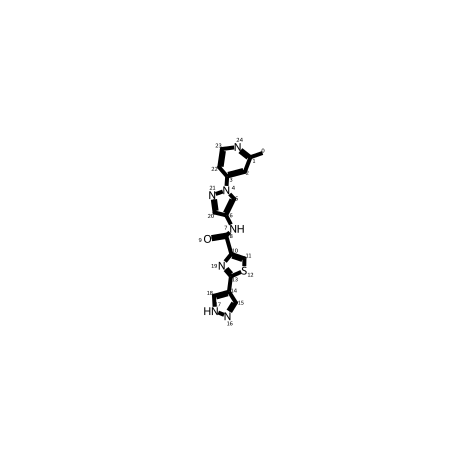 Cc1cc(-n2cc(NC(=O)c3csc(-c4cn[nH]c4)n3)cn2)ccn1